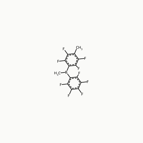 CB(c1c(F)c(F)c(C)c(F)c1F)c1c(F)c(F)c(F)c(F)c1F